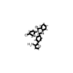 Nc1ccoc1-c1ccc(-c2nc3ccccc3c(=O)n2-c2ccc(Cl)cn2)cc1